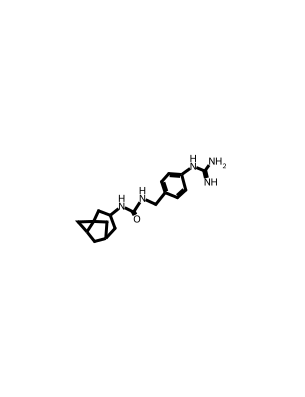 N=C(N)Nc1ccc(CNC(=O)NC2CC3CC4CC4(C3)C2)cc1